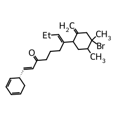 C=C1CC(C)(Br)C(C)CC1/C(=C/CC)CCCC(=O)/C=C/[C@H]1C=CC=CC1